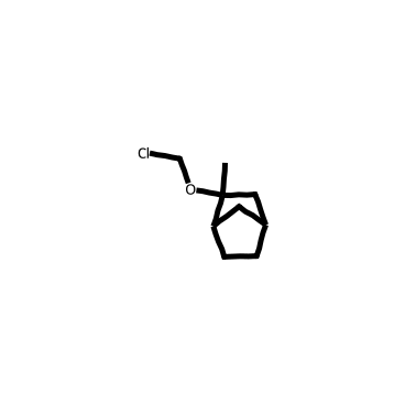 CC1(OCCl)CC2CCC1C2